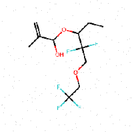 C=C(C)C(O)OC(CC)C(F)(F)COCC(F)(F)F